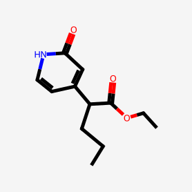 CCCC(C(=O)OCC)c1cc[nH]c(=O)c1